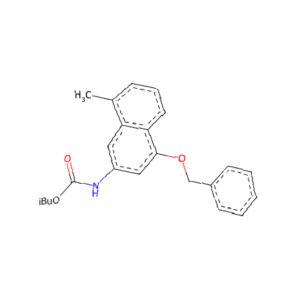 Cc1cccc2c(OCc3ccccc3)cc(NC(=O)OCC(C)C)cc12